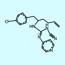 C=CCCC(Cc1ccc(Cl)cc1)N/C(=N/c1ccncc1)NC#N